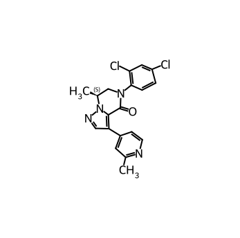 Cc1cc(-c2cnn3c2C(=O)N(c2ccc(Cl)cc2Cl)C[C@@H]3C)ccn1